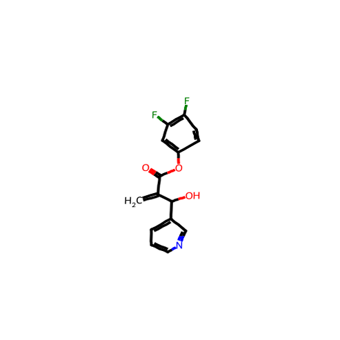 C=C(C(=O)Oc1ccc(F)c(F)c1)C(O)c1cccnc1